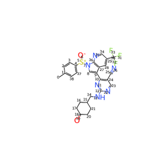 Cc1ccc([S+]([O-])n2cc(-c3nc(NCC4CCC(=O)CC4)ncc3C#N)c3cc(C(F)(F)F)cnc32)cc1